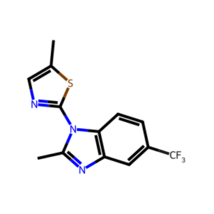 Cc1cnc(-n2c(C)nc3cc(C(F)(F)F)ccc32)s1